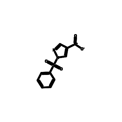 O=[N+]([O-])c1cnn(S(=O)(=O)c2ccccc2)c1